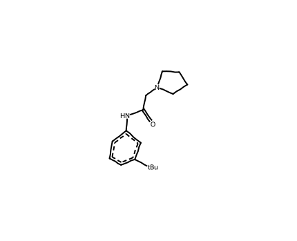 CC(C)(C)c1cccc(NC(=O)CN2CCCC2)c1